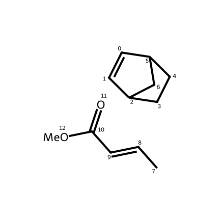 C1=CC2CCC1C2.CC=CC(=O)OC